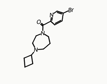 O=C(c1ccc(Br)cn1)N1CCCN(C2CCC2)CC1